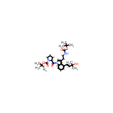 CC(C)(O)/C=C/c1cccc2c1c(CCNC(=O)OC(C)(C)C)cn2C(=O)C1CCCN1C(=O)OC(C)(C)C